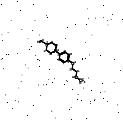 CCCN1CCN(c2ccc(OCCOC(F)(F)F)cc2)CC1